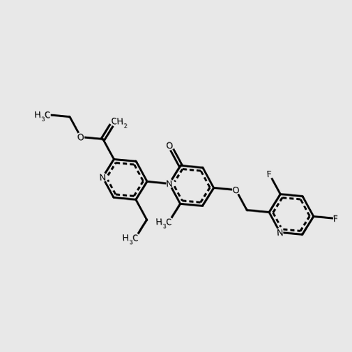 C=C(OCC)c1cc(-n2c(C)cc(OCc3ncc(F)cc3F)cc2=O)c(CC)cn1